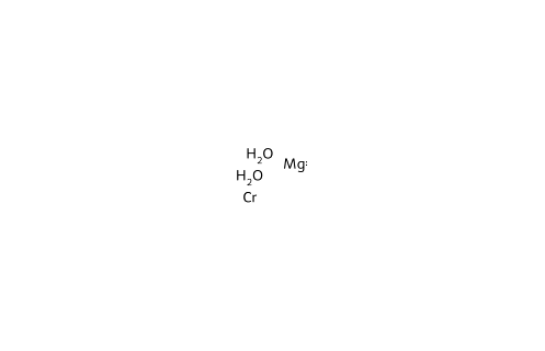 O.O.[Cr].[Mg]